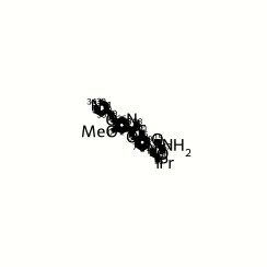 COc1cc2c(Oc3ccc(N(CCC(C)C)C(=O)C(N)=O)cc3F)ccnc2cc1OCC1CCN(C)CC1